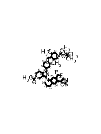 CC(=O)N1CCc2c(c(N3CCCc4cc(-c5cnco5)c(C(F)F)cc43)nn2C2CCN(CC3C(C)CN(C(=O)OC(C)(C)C)CC3C)CC2)C1